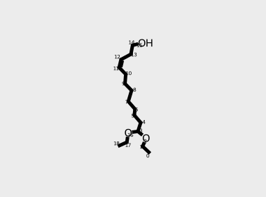 CCOC(CCCCCCC/C=C\CCO)OCC